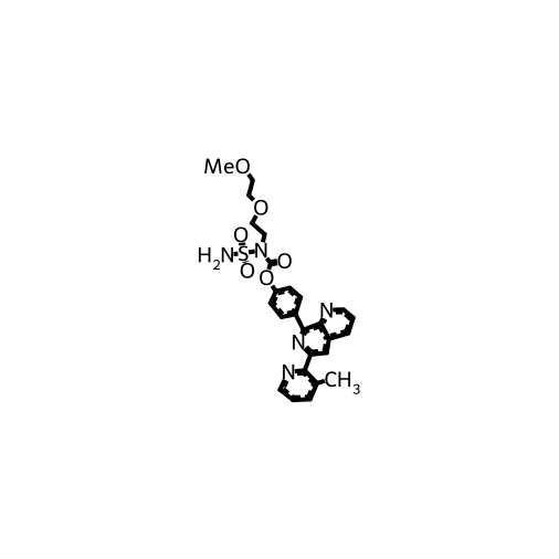 COCCOCCN(C(=O)Oc1ccc(-c2nc(-c3ncccc3C)cc3cccnc23)cc1)S(N)(=O)=O